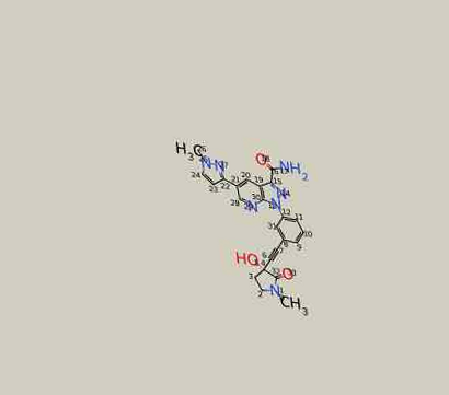 CN1CC[C@@](O)(C#Cc2cccc(-n3nc(C(N)=O)c4cc(-c5ccn(C)n5)cnc43)c2)C1=O